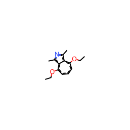 CCOc1cccc(OCC)c2c(C)nc(C)c1-2